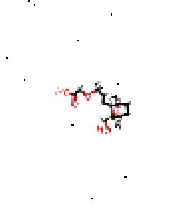 C[C@@H](CCC1[C@H]2CC[C@H](O2)[C@H]1CO)OCC(=O)O